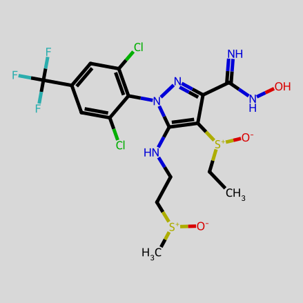 CC[S+]([O-])c1c(C(=N)NO)nn(-c2c(Cl)cc(C(F)(F)F)cc2Cl)c1NCC[S+](C)[O-]